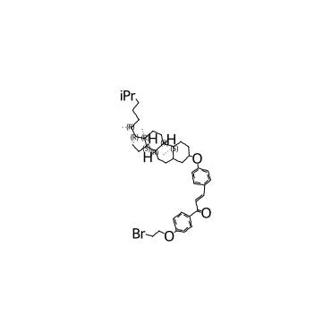 CC(C)CCC[C@@H](C)[C@H]1CC[C@H]2[C@@H]3CCC4CC(Oc5ccc(C=CC(=O)c6ccc(OCCBr)cc6)cc5)CC[C@]4(C)[C@H]3CC[C@]12C